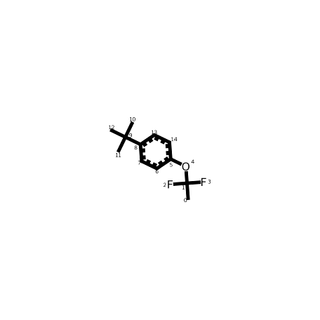 CC(F)(F)Oc1ccc(C(C)(C)C)cc1